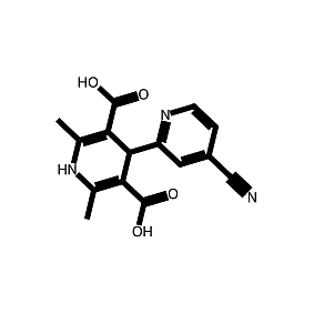 CC1=C(C(=O)O)C(c2cc(C#N)ccn2)C(C(=O)O)=C(C)N1